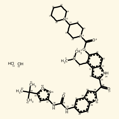 CN(C)Cc1c(OC(=O)N2CCC(N3CCCCC3)CC2)ccc2[nH]c(C(=O)c3cc4cc(NC(=O)Nc5cc(C(C)(C)C)on5)ccc4o3)cc12.Cl.Cl